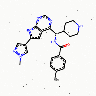 Cn1cc(-c2cc3c(C(NC(=O)c4ccc(C(C)(C)C)cc4)C4CCNCC4)ncnc3[nH]2)cn1